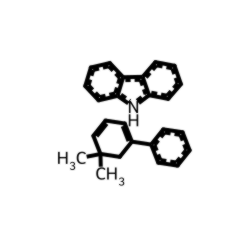 CC1(C)C=CC=C(c2ccccc2)C1.c1ccc2c(c1)[nH]c1ccccc12